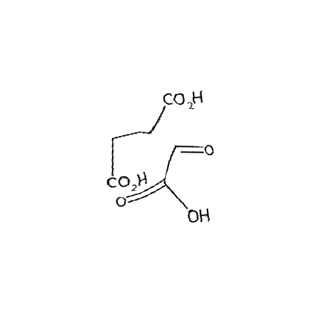 O=C(O)CCC(=O)O.O=CC(=O)O